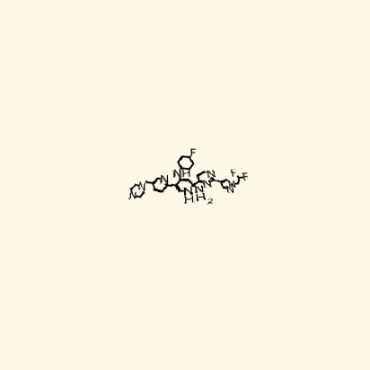 CN1CCN(Cc2ccc(C3=CNC(N)(c4ccnc(-c5cnn(CC(F)F)c5)n4)C=C3NC3CCC(F)CC3)nc2)CC1